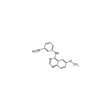 C#Cc1cccc(Nc2ncnc3ccc(OC)cc23)c1